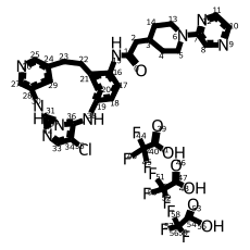 O=C(CC1CCN(c2cnccn2)CC1)Nc1ccc2cc1CCc1cncc(c1)Nc1ncc(Cl)c(n1)N2.O=C(O)C(F)(F)F.O=C(O)C(F)(F)F.O=C(O)C(F)(F)F